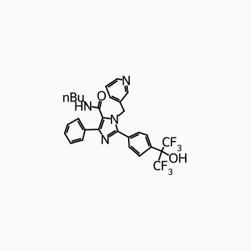 CCCCNC(=O)c1c(-c2ccccc2)nc(-c2ccc(C(O)(C(F)(F)F)C(F)(F)F)cc2)n1Cc1cccnc1